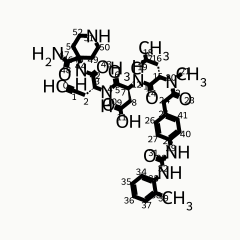 C#CC[C@@H](NC(=O)[C@H](CC(=O)O)NC(=O)[C@H](CC(C)C)N(C)C(=O)Cc1ccc(NC(=O)Nc2ccccc2C)cc1)C(=O)NC1(C(N)=O)CCNCC1